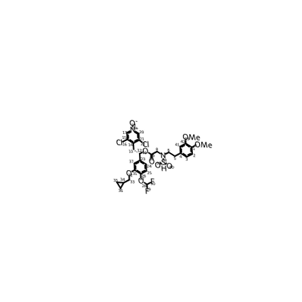 COc1ccc(CCN(CC(=O)O[C@@H](Cc2c(Cl)c[n+]([O-])cc2Cl)c2ccc(OC(F)F)c(OCC3CC3)c2)[SH](=O)=O)cc1OC